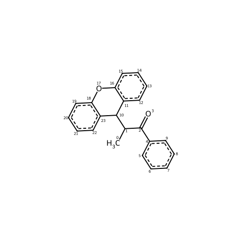 CC(C(=O)c1ccccc1)C1c2ccccc2Oc2ccccc21